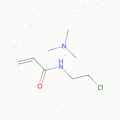 C=CC(=O)NCCCl.CN(C)C